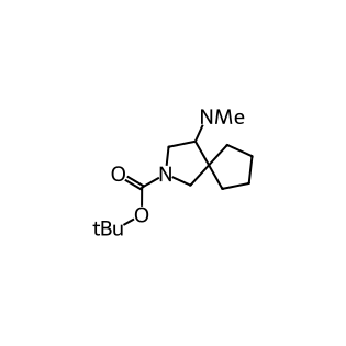 CNC1CN(C(=O)OC(C)(C)C)CC12CCCC2